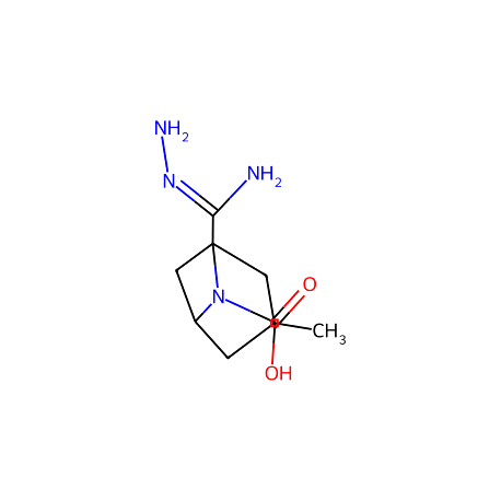 CC1CC2CC(C(N)=NN)(C1)N2C(=O)O